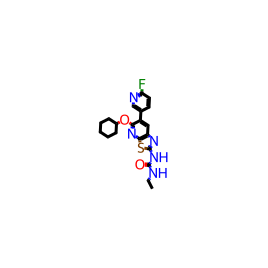 CCNC(=O)Nc1nc2cc(-c3ccc(F)nc3)c(OC3CCCCC3)nc2s1